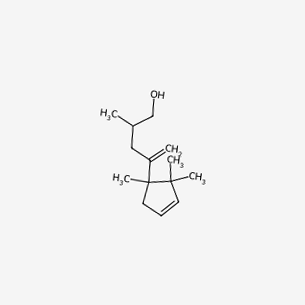 C=C(CC(C)CO)C1(C)CC=CC1(C)C